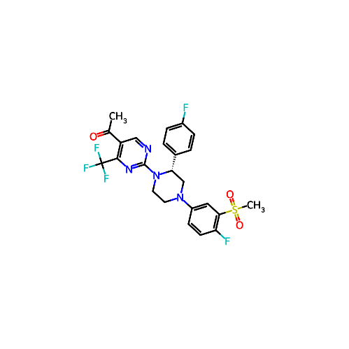 CC(=O)c1cnc(N2CCN(c3ccc(F)c(S(C)(=O)=O)c3)C[C@H]2c2ccc(F)cc2)nc1C(F)(F)F